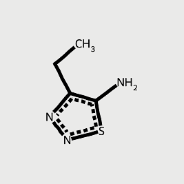 CCc1nnsc1N